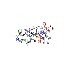 CCOC(=O)C(Cc1ccc(NC(=O)c2c(Cl)cncc2Cl)cc1)NC(=O)C1CCCN1S(=O)(=O)c1cccc(C#N)c1